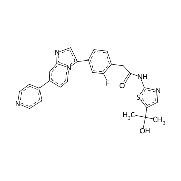 CC(C)(O)c1cnc(NC(=O)Cc2ccc(-c3cnc4cc(-c5ccncc5)ccn34)cc2F)s1